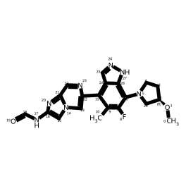 CO[C@@H]1CCN(c2c(F)c(C)c(-c3cn4cc(NC=O)nc4cn3)c3cn[nH]c23)C1